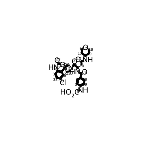 O=C(O)Nc1ccc(C(=O)N[C@@H](CC(=O)NC2CCOCC2)C(=O)N2CC[C@@]3(C2)OC(=O)Nc2ccc(Cl)cc23)cc1